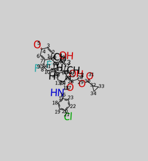 C[C@]12C=CC(=O)C=C1[C@@H](F)C[C@H]1[C@@H]3C[C@@H](CNc4ccc(Cl)cc4)[C@](O)(C(=O)COC(=O)C4CC4)[C@@]3(C)C[C@H](O)[C@@]12F